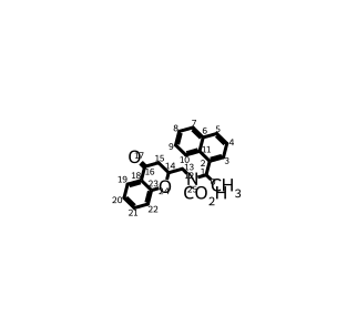 CC(c1cccc2ccccc12)N(CC1CC(=O)c2ccccc2O1)C(=O)O